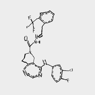 O=C(N/N=C/c1ccccc1C(F)(F)F)N1CCc2ncnc(Nc3ccc(F)c(Cl)c3)c2C1